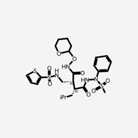 CC(C)C[C@@H](C(=O)NN(c1ccccc1)S(C)(=O)=O)[C@H](CNS(=O)(=O)c1cccs1)C(=O)NOC1CCCCO1